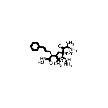 CCC[C@](C/C(=C(/C)CC)[C@H](CC=Cc1ccccc1)C(=O)NO)(C(=O)NN)C(=O)[C@@H](C)N